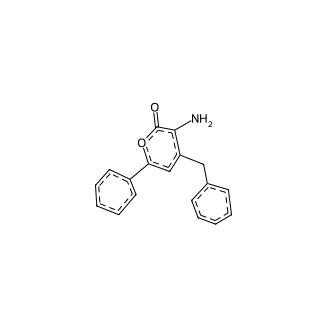 Nc1c(Cc2ccccc2)cc(-c2ccccc2)oc1=O